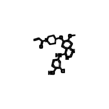 C=CC(=O)N1CCC(Oc2cc3c(Nc4ccc(O)c(Cl)c4)ncnc3cc2OC)CC1